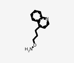 NOCCCc1ccnc2ccccc12